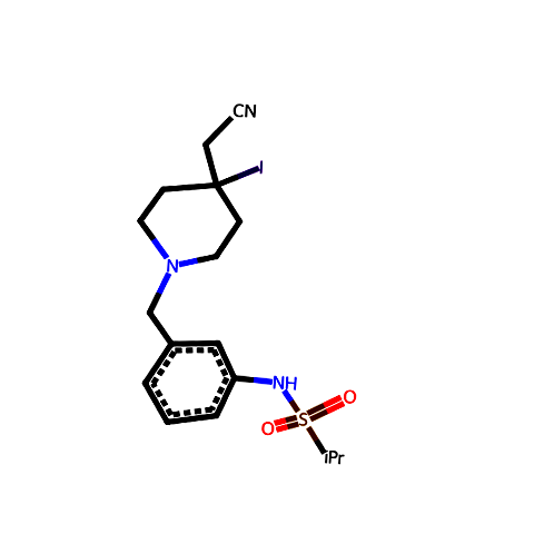 CC(C)S(=O)(=O)Nc1cccc(CN2CCC(I)(CC#N)CC2)c1